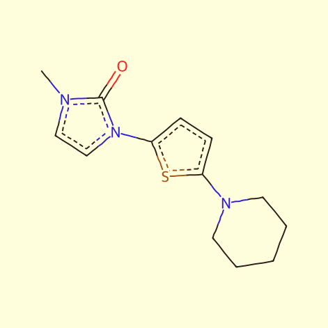 Cn1ccn(-c2ccc(N3CCCCC3)s2)c1=O